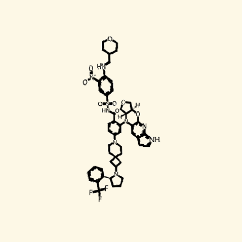 O=C(NS(=O)(=O)c1ccc(NCC2CCOCC2)c([N+](=O)[O-])c1)c1ccc(N2CCC3(CC2)CC(N2CCC[C@H]2c2ccccc2C(F)(F)F)C3)cc1N1c2cc3cc[nH]c3nc2O[C@@H]2COC[C@H]21